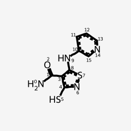 NC(=O)c1c(S)nsc1Nc1cccnc1